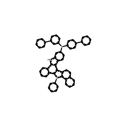 c1ccc(-c2ccc(N(c3cccc(-c4ccccc4)c3)c3ccc4c(c3)[nH]c3c5ccccc5c5c(c6ccc7ccccc7c6n5-c5ccccc5)c43)cc2)cc1